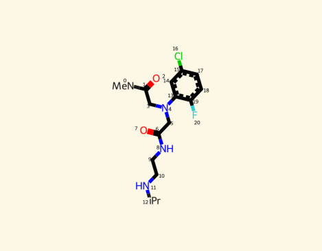 CNC(=O)CN(CC(=O)NCCNC(C)C)c1cc(Cl)ccc1F